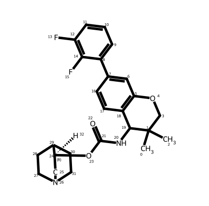 CC1(C)COc2cc(-c3cccc(F)c3F)ccc2C1NC(=O)O[C@H]1CN2CCC1CC2